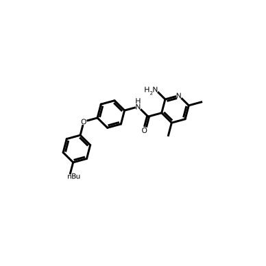 CCCCc1ccc(Oc2ccc(NC(=O)c3c(C)cc(C)nc3N)cc2)cc1